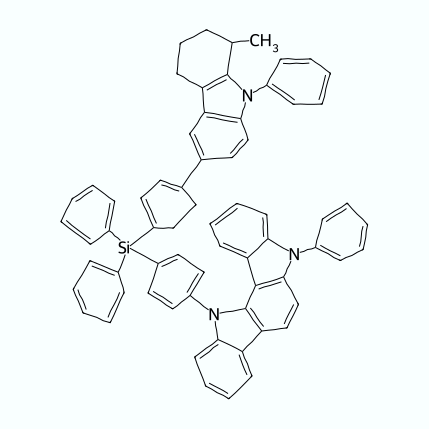 CC1CCCc2c1n(-c1ccccc1)c1ccc(C3=CC=C([Si](c4ccccc4)(c4ccccc4)c4ccc(-n5c6ccccc6c6ccc7c(c8ccccc8n7-c7ccccc7)c65)cc4)CC3)cc21